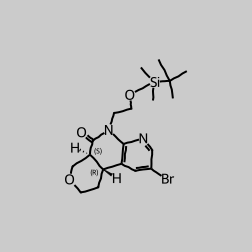 CC(C)(C)[Si](C)(C)OCCN1C(=O)[C@@H]2COCC[C@H]2c2cc(Br)cnc21